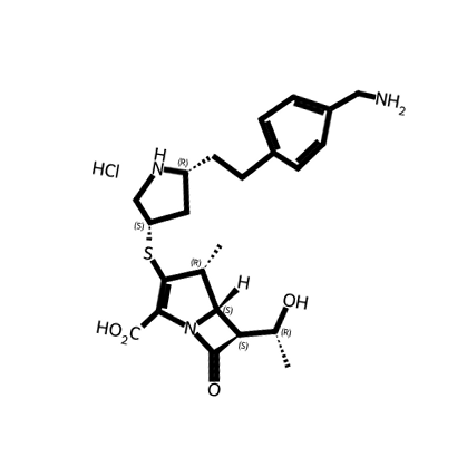 C[C@@H](O)[C@H]1C(=O)N2C(C(=O)O)=C(S[C@@H]3CN[C@H](CCc4ccc(CN)cc4)C3)[C@H](C)[C@H]12.Cl